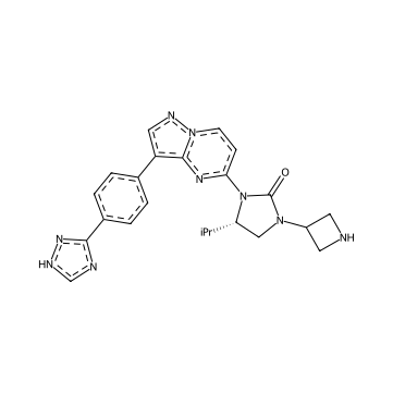 CC(C)[C@H]1CN(C2CNC2)C(=O)N1c1ccn2ncc(-c3ccc(-c4nc[nH]n4)cc3)c2n1